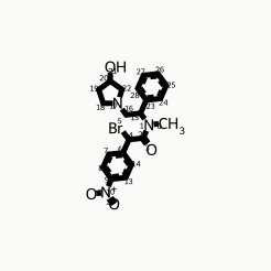 CN(C(=O)C(Br)c1ccc([N+](=O)[O-])cc1)C(CN1CCC(O)C1)c1ccccc1